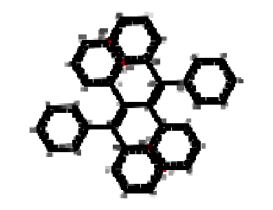 c1ccc(C(C(=C(c2ccccc2)c2ccccc2)c2ccccc2)=C(c2ccccc2)c2ccccc2)cc1